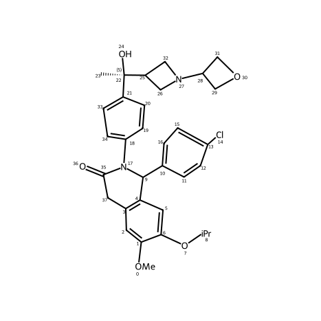 COc1cc2c(cc1OC(C)C)C(c1ccc(Cl)cc1)N(c1ccc([C@@](C)(O)C3CN(C4COC4)C3)cc1)C(=O)C2